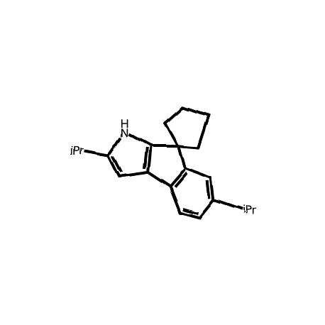 CC(C)c1ccc2c(c1)C1(CCCC1)c1[nH]c(C(C)C)cc1-2